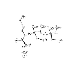 NCCCC[C@H](N)C(=O)O.O=C([O-])CC(O)(CC(=O)[O-])C(=O)[O-].O=C([O-])CC(O)(CC(=O)[O-])C(=O)[O-].[Ca+2].[Ca+2].[Ca+2]